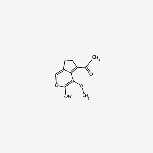 COC1=C(O)OC=C2CCC(C(C)=O)=C21